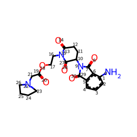 Nc1cccc2c1C(=O)N(C1CCC(=O)N(CCOC(=O)CN3CCCC3)C1=O)C2=O